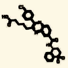 O=C(O)CCCCc1nc2cc(C(=O)N[C@@H]3CCS(=O)(=O)c4ccccc43)ccc2nc1-c1ccc(Cl)cc1